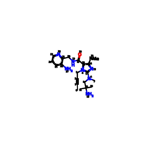 CC#CCn1c(N(C)CC(C)(C)N)nc(NC)c1C(=O)NCc1ncccc1N